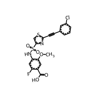 COc1cc(C(=O)O)c(F)cc1NS(=O)(=O)c1csc(C#Cc2cccc(Cl)c2)n1